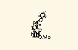 COc1ccnc(N2CCn3nc(COc4ccccc4)cc3C2=O)n1